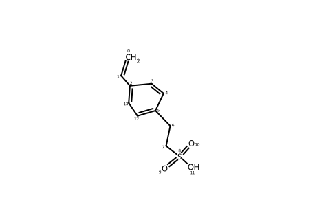 C=Cc1ccc(CCS(=O)(=O)O)cc1